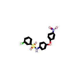 O=[N+]([O-])c1ccc(Oc2ccc(NS(=O)(=O)c3cccc(Cl)c3)cc2)cc1